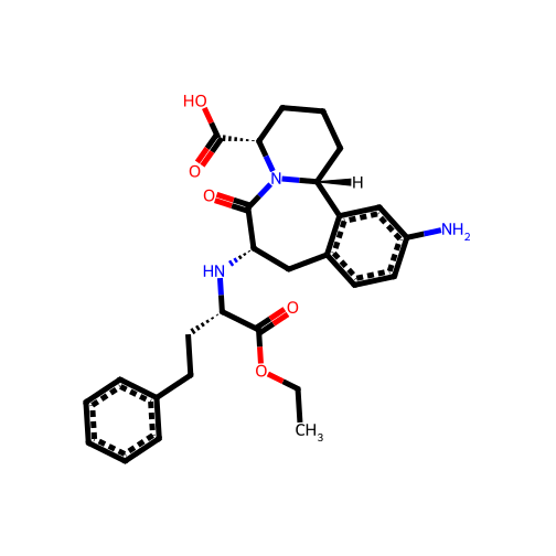 CCOC(=O)[C@H](CCc1ccccc1)N[C@H]1Cc2ccc(N)cc2[C@H]2CCC[C@@H](C(=O)O)N2C1=O